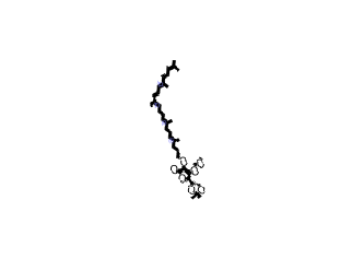 COCOC1=C(OCCC/C(C)=C/CC/C(C)=C/CC/C=C(\C)CC/C=C(\C)CCC=C(C)C)C(=O)O[C@@H]1[C@@H]1COC(C)(C)O1